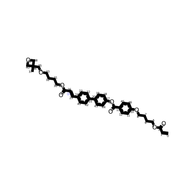 C=CC(=O)OCCCCOc1ccc(C(=O)Oc2ccc(-c3ccc(/C=C/C(=O)OCCCCOCC4(C)COC4)cc3)cc2)cc1